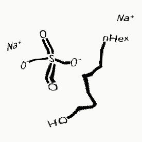 CCCCCCCCCO.O=S(=O)([O-])[O-].[Na+].[Na+]